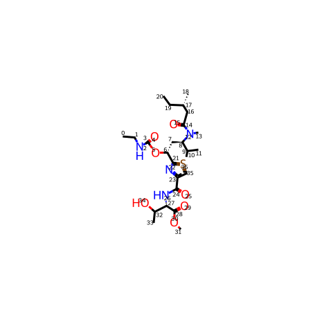 CCNC(=O)O[C@H](C[C@H](C(C)C)N(C)C(=O)C[C@@H](C)CC)c1nc(C(=O)N[C@H](C(=O)OC)C(C)O)cs1